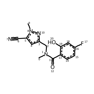 CN(Cc1cc(C#N)n(C)n1)C(=O)c1ccc(F)cc1O